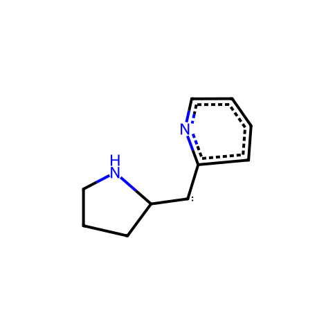 [C](c1ccccn1)C1CCCN1